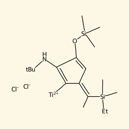 CC[Si](C)(C)C(C)=C1C=C(O[Si](C)(C)C)C(NC(C)(C)C)=[C]1[Ti+2].[Cl-].[Cl-]